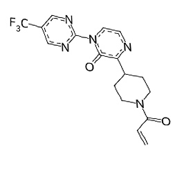 C=CC(=O)N1CCC(c2nccn(-c3ncc(C(F)(F)F)cn3)c2=O)CC1